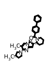 Cc1cn2nc([C@@H]3CCCCN3C(=O)c3ccc(-c4ccccc4)cc3)cc2nc1N1CC[C@H](C)C1